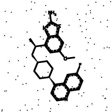 COc1cc([C@H](C)C[C@H]2CC[C@@H](c3ccnc4ccc(F)cc43)CC2)c2nc(N)sc2c1